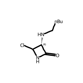 CCCCCN[C@@H]1C(=O)NC1Cl